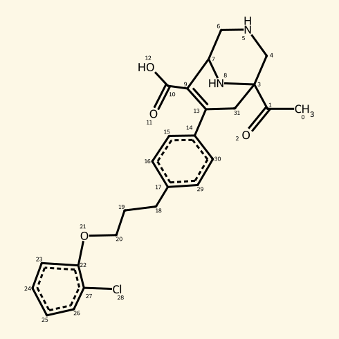 CC(=O)C12CNCC(N1)C(C(=O)O)=C(c1ccc(CCCOc3ccccc3Cl)cc1)C2